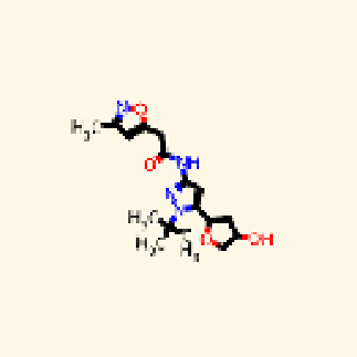 Cc1cc(CC(=O)Nc2cc(C3CC(O)CO3)n(C(C)(C)C)n2)on1